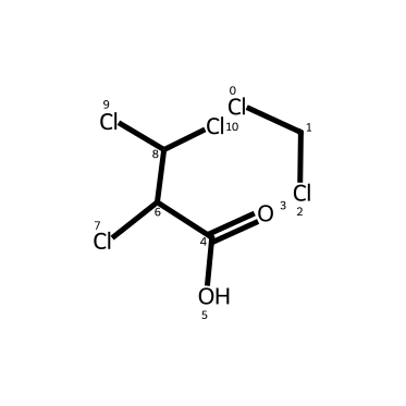 ClCCl.O=C(O)C(Cl)C(Cl)Cl